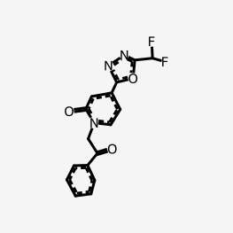 O=C(Cn1ccc(-c2nnc(C(F)F)o2)cc1=O)c1ccccc1